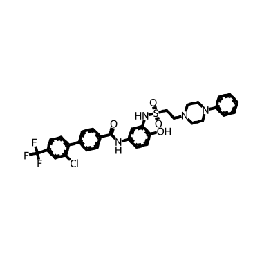 O=C(Nc1ccc(O)c(NS(=O)(=O)CCN2CCN(c3ccccc3)CC2)c1)c1ccc(-c2ccc(C(F)(F)F)cc2Cl)cc1